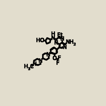 CCc1nc2c(N)ncc(-c3ccc(N4CCC(N5CCN(C)CC5)CC4)c(OC(F)F)c3)c2nc1NC1CCC(O)C1